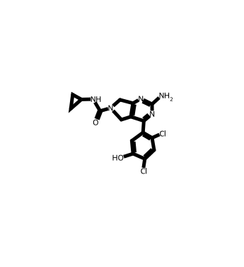 Nc1nc2c(c(-c3cc(O)c(Cl)cc3Cl)n1)CN(C(=O)NC1CC1)C2